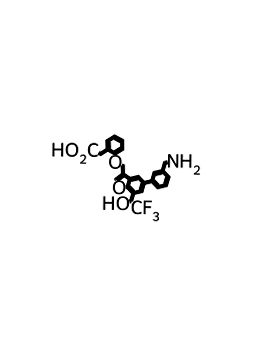 NCc1cccc(-c2cc(C(O)C(F)(F)F)c3occ(COc4ccccc4CC(=O)O)c3c2)c1